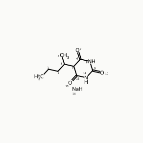 CCCC(C)C1C(=O)NC(=O)NC1=O.[NaH]